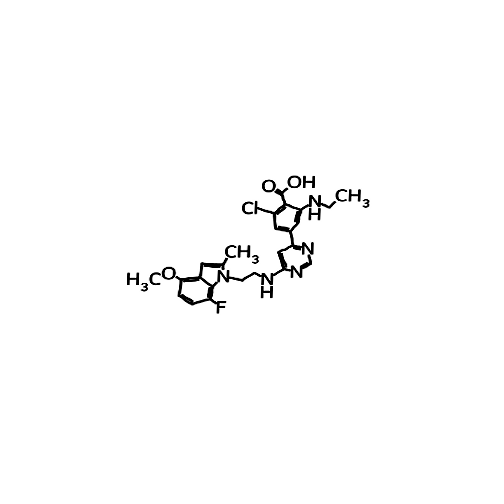 CCNc1cc(-c2cc(NCCn3c(C)cc4c(OC)ccc(F)c43)ncn2)cc(Cl)c1C(=O)O